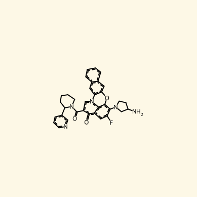 NC1CCN(c2c(F)cc3c(=O)c(C(=O)N4CCCCC4c4cccnc4)cn4c3c2Oc2cc3ccccc3cc2-4)C1